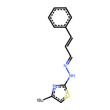 CC(C)(C)c1csc(NN=CC=Cc2ccccc2)n1